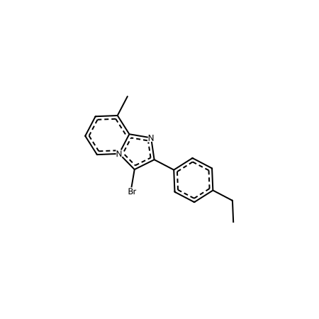 CCc1ccc(-c2nc3c(C)cccn3c2Br)cc1